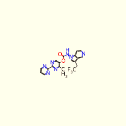 Cc1nc(-c2ncccn2)ncc1OC(=O)Nn1cc(CC(F)(F)F)c2cnccc21